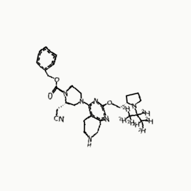 [2H]C([2H])([2H])C([2H])(N1CCC[C@H]1COc1nc2c(c(N3CCN(C(=O)OCc4ccccc4)[C@@H](CC#N)C3)n1)CCNC2)C([2H])([2H])[2H]